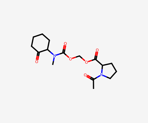 CC(=O)N1CCCC1C(=O)OCOC(=O)N(C)C1CCCCC1=O